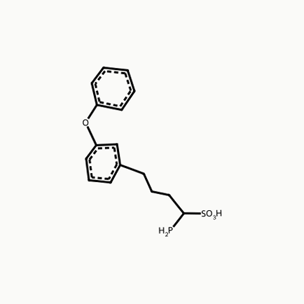 O=S(=O)(O)C(P)CCCc1cccc(Oc2ccccc2)c1